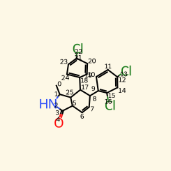 CC1NC(=O)C2C=CC(c3ccc(Cl)cc3Cl)C(c3ccc(Cl)cc3)C12